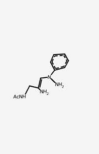 CC(=O)NC/C(N)=C/N(N)c1ccccc1